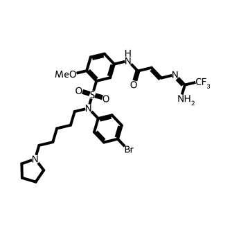 COc1ccc(NC(=O)/C=C/N=C(\N)C(F)(F)F)cc1S(=O)(=O)N(CCCCCN1CCCC1)c1ccc(Br)cc1